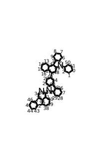 c1ccc(-n2c3ccccc3c3c4ccccc4c(-c4ccc5c(c4)c4ccccc4n5-c4ncc5c6c(cccc46)-c4ccccc4-5)cc32)cc1